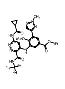 [2H]C([2H])([2H])NC(=O)c1nnc(NC(=O)C2CC2)cc1Nc1cc(C(=O)OC(C)C)cc(-c2cnn(C)n2)c1OC